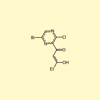 CC/C(O)=C/C(=O)c1nc(Br)cnc1Cl